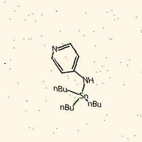 CCC[CH2][Sn]([CH2]CCC)([CH2]CCC)[NH]c1ccncc1